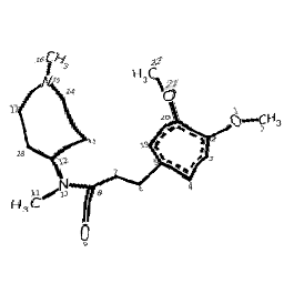 COc1ccc(CCC(=O)N(C)C2CCN(C)CC2)cc1OC